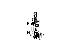 CC1(CC(=O)NCc2cccc(-n3nc(C(C)(C)C)cc3NC(=O)Nc3ccc(Cl)cc3)c2)CC2(C)CC(C)(C1)C(=O)NC2=O